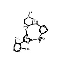 Cc1cccc(C)c1-c1cc2nc(n1)NS(=O)(=O)c1cccc(c1)N[C@@H]1CN(C(C)C)CC[C@H]1O2